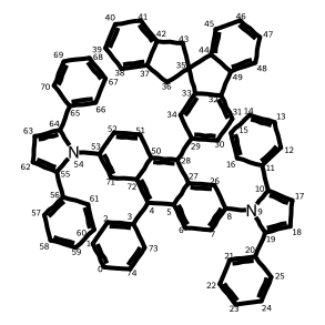 c1ccc(-c2c3ccc(-n4c(-c5ccccc5)ccc4-c4ccccc4)cc3c(-c3ccc4c(c3)C3(Cc5ccccc5C3)c3ccccc3-4)c3ccc(-n4c(-c5ccccc5)ccc4-c4ccccc4)cc23)cc1